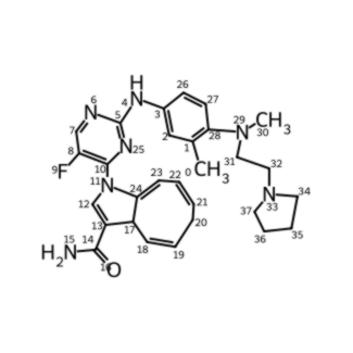 Cc1cc(Nc2ncc(F)c(N3C=C(C(N)=O)C4C=CC/C=C\C=C/43)n2)ccc1N(C)CCN1CCCC1